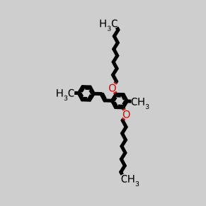 CCCCCCCCCCOc1cc(/C=C/c2ccc(C)cc2)c(OCCCCCCCCCC)cc1C